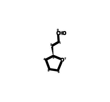 O=CCC[C@H]1CCCO1